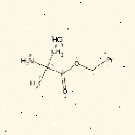 CC(C)COC(=O)C(C)(C)N.Cl